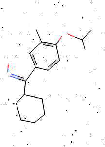 CCC(Oc1ccc(/C(=N\O)C2CCCCC2)cc1C)C(=O)O